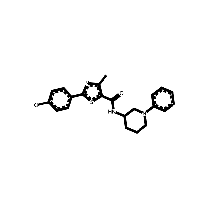 Cc1nc(-c2ccc(Cl)cc2)sc1C(=O)NC1CCCN(c2ccccc2)C1